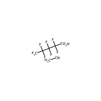 CC#N.O=C(O)C(F)(F)C(F)(F)C(F)(F)C(F)(F)F